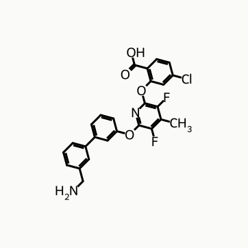 Cc1c(F)c(Oc2cccc(-c3cccc(CN)c3)c2)nc(Oc2cc(Cl)ccc2C(=O)O)c1F